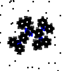 C1=CC2c3ccccc3N(c3cc(-c4cc(-c5cccc6ccccc56)nc(-c5ccc(-n6c7ccccc7c7ccccc76)cc5)n4)cc(-n4c5ccccc5c5ccccc54)c3)C2C=C1